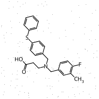 Cc1cc(CN(CCC(=O)O)Cc2ccc(Sc3ccccc3)cc2)ccc1F